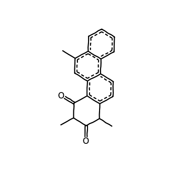 Cc1cc2c3c(ccc2c2ccccc12)C(C)C(=O)C(C)C3=O